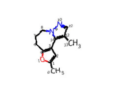 Cc1cc2c(o1)CCCn1ncc(C)c1-2